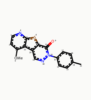 COc1ccnc2sc3c(=O)n(-c4ccc(C)cc4)ncc3c12